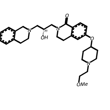 COCCN1CCC(Oc2ccc3c(c2)CCN(C[C@H](O)CN2CCc4ccccc4C2)C3=O)CC1